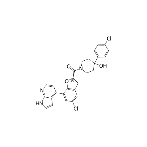 O=C([C@H]1Cc2cc(Cl)cc(-c3ccnc4[nH]ccc34)c2O1)N1CCC(O)(c2ccc(Cl)cc2)CC1